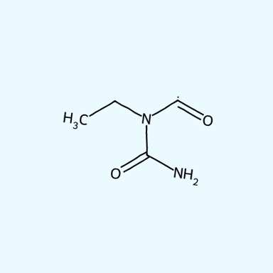 CCN([C]=O)C(N)=O